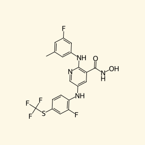 Cc1cc(F)cc(Nc2ncc(Nc3ccc(SC(F)(F)F)cc3F)cc2C(=O)NO)c1